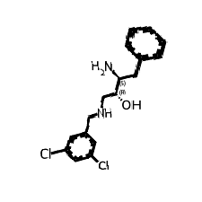 N[C@@H](Cc1ccccc1)[C@H](O)CNCc1cc(Cl)cc(Cl)c1